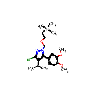 COc1ccc(-c2c(C(C)C)c(Br)nn2COCC[Si](C)(C)C)cc1OC